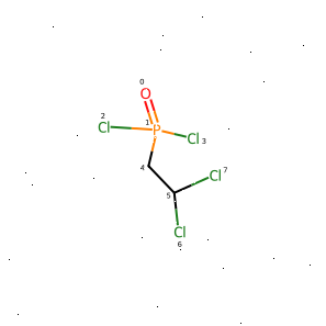 O=P(Cl)(Cl)CC(Cl)Cl